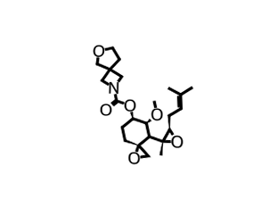 CO[C@H]1C([C@@]2(C)O[C@@H]2CC=C(C)C)[C@]2(CC[C@H]1OC(=O)N1CC3(CCOC3)C1)CO2